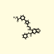 NC(=O)c1cccc(-c2ccc(C=NNc3nc4nonc4nc3NCc3ccccc3)o2)c1